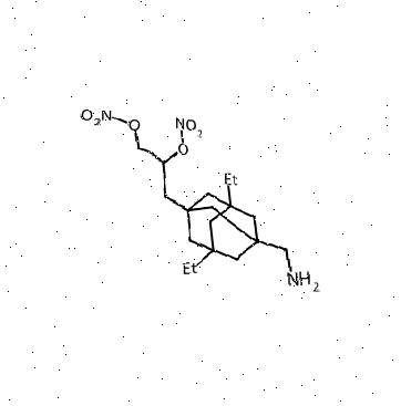 CCC12CC3(CC)CC(CN)(C1)CC(CC(CO[N+](=O)[O-])O[N+](=O)[O-])(C2)C3